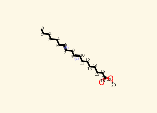 CCCCCC/C=C/C/C=C/CCCCCCC(=O)OC